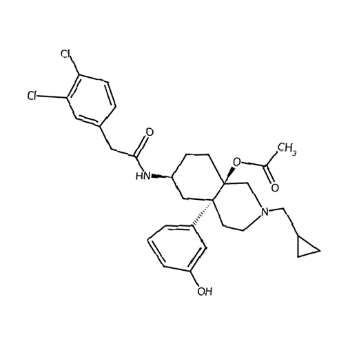 CC(=O)O[C@]12CC[C@H](NC(=O)Cc3ccc(Cl)c(Cl)c3)C[C@]1(c1cccc(O)c1)CCN(CC1CC1)C2